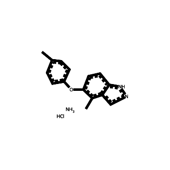 Cc1ccc(Oc2ccc3[nH]ncc3c2C)cc1.Cl.N